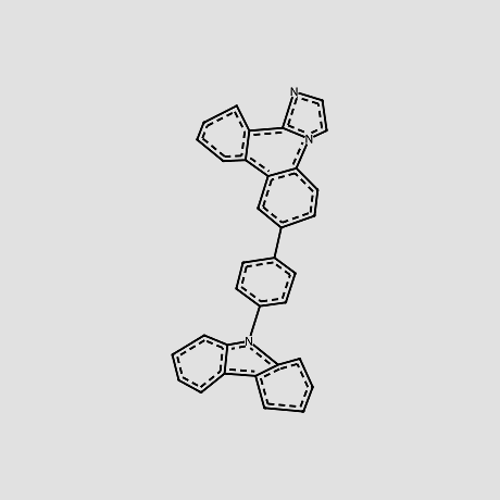 c1ccc2c(c1)c1cc(-c3ccc(-n4c5ccccc5c5ccccc54)cc3)ccc1n1ccnc21